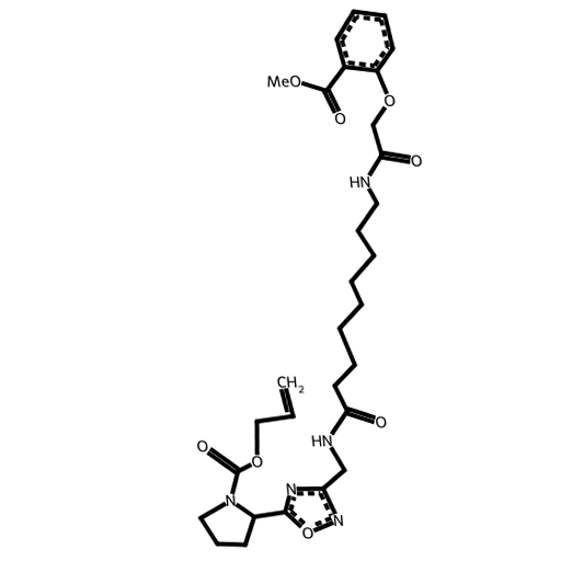 C=CCOC(=O)N1CCCC1c1nc(CNC(=O)CCCCCCCCNC(=O)COc2ccccc2C(=O)OC)no1